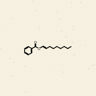 CCCCCCCC=COC(=O)c1ccccc1